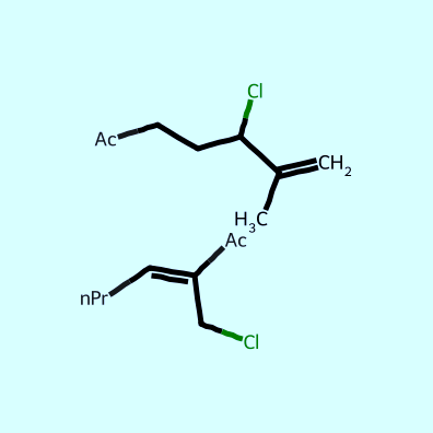 C=C(C)C(Cl)CCC(C)=O.CCCC=C(CCl)C(C)=O